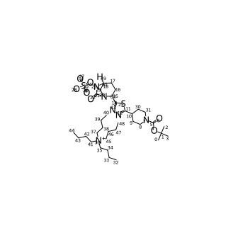 CC(C)(C)OC(=O)N1CCC(c2nnc([C@@H]3CC[C@@H]4CN3C(=O)N4OS(=O)(=O)[O-])s2)CC1.CCCC[N+](CCCC)(CCCC)CCCC